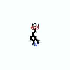 CC(C)(C)OC(=O)CCc1ccc2cnccc2c1